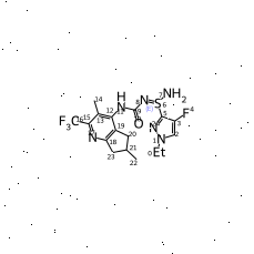 CCn1cc(F)c(/S(N)=N\C(=O)Nc2c(C)c(C(F)(F)F)nc3c2CC(C)C3)n1